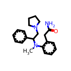 CN(c1ccccc1CC(N)=O)C(CN1CCCC1)c1ccccc1